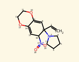 C=CC1(N2CCCC2)C=C2OCCOC2=CC1[N+](=O)[O-]